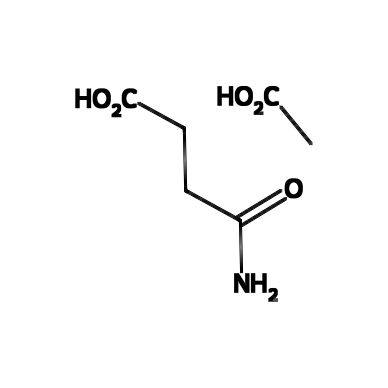 CC(=O)O.NC(=O)CCC(=O)O